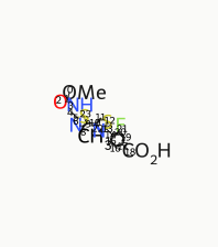 COC(=O)NCc1nc(C)c(-c2csc(-c3ccc(C(=O)O)cc3F)n2)s1